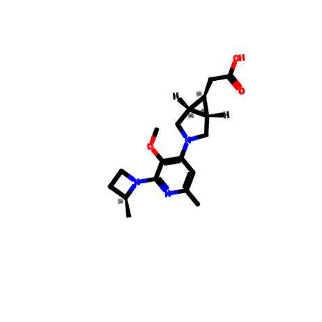 COc1c(N2C[C@@H]3[C@@H](CC(=O)O)[C@@H]3C2)cc(C)nc1N1CC[C@@H]1C